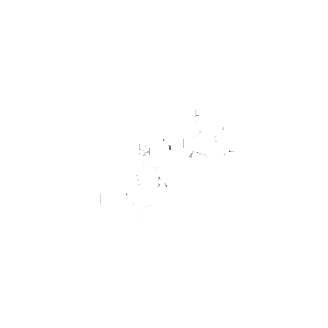 Cn1ccc2nc(C(N)Cc3cc(F)cc(F)c3)c(Br)cc21